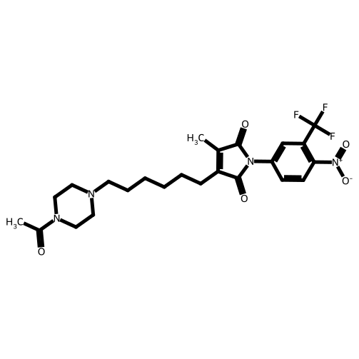 CC(=O)N1CCN(CCCCCCC2=C(C)C(=O)N(c3ccc([N+](=O)[O-])c(C(F)(F)F)c3)C2=O)CC1